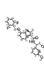 COc1cccc(C(CO)NC(=O)c2c(C)nc3c(OCc4c(F)cccc4F)cccn23)n1